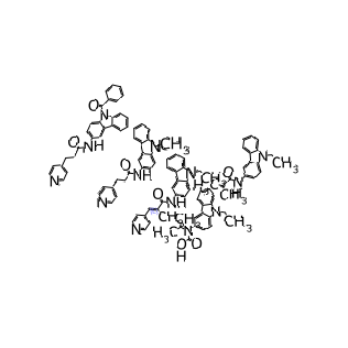 CCn1c2ccccc2c2cc(N(C(=O)O)C(C)C)ccc21.CCn1c2ccccc2c2cc(NC(=O)/C(C)=C/c3ccncc3)ccc21.CCn1c2ccccc2c2cc(NC(=O)C(C)C)ccc21.Cn1c2ccccc2c2cc(NC(=O)CCc3ccncc3)ccc21.O=C(CCc1ccncc1)Nc1ccc2c(c1)c1ccccc1n2C(=O)c1ccccc1